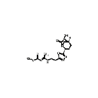 C/C(=N\C(=O)OC(C)(C)C)NCCc1nnc([C@@H]2CC[C@@H]3CN2C(=O)N3O)o1